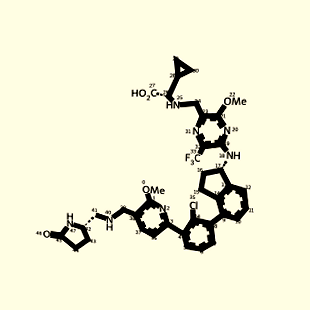 COc1nc(-c2cccc(-c3cccc4c3CC[C@@H]4Nc3nc(OC)c(CN[C@H](C(=O)O)C4CC4)nc3C(F)(F)F)c2Cl)ccc1CNC[C@@H]1CCC(=O)N1